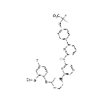 CCOc1cc(F)ccc1OC1CCCN(c2cncc(Nc3cccc(-c4ccc(OC(C)(C)C(=O)O)cc4)n3)n2)C1